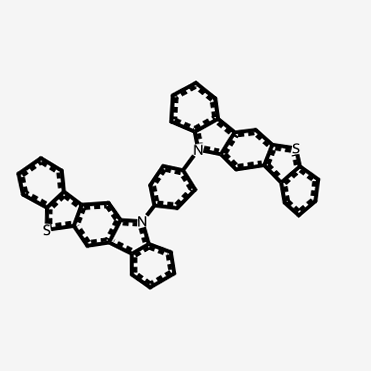 c1ccc2c(c1)sc1cc3c4ccccc4n(-c4ccc(-n5c6ccccc6c6cc7sc8ccccc8c7cc65)cc4)c3cc12